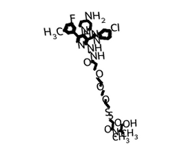 Cc1cc(F)cc(-c2cnc(NCNC(=O)CCOCCOCCOCCSSCCC(=O)N(C)C(C)C(=O)O)c(-c3nc4ccc(Cl)cc4[nH]3)c2N2CCC(N)CC2)c1